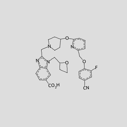 N#Cc1ccc(OCc2cccc(OC3CCN(Cc4nc5ccc(C(=O)O)cc5n4CC4CCO4)CC3)n2)c(F)c1